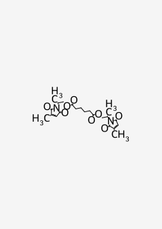 CC1=CC(=O)N(C(C)COC(=O)CCCCC(=O)OCC(C)N2C(=O)C=C(C)C2=O)C1=O